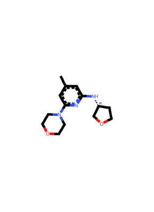 Cc1cc(N[C@@H]2CCOC2)nc(N2CCOCC2)c1